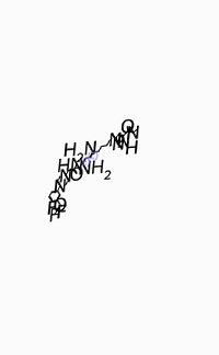 CNC(=O)c1cn(CCCC/C(N)=C/C=C(\N)NC(=O)CN2CCN(c3cccc(OC(F)(F)F)c3)CC2)nn1